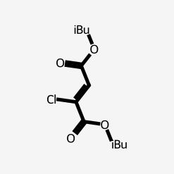 CCC(C)OC(=O)C=C(Cl)C(=O)OC(C)CC